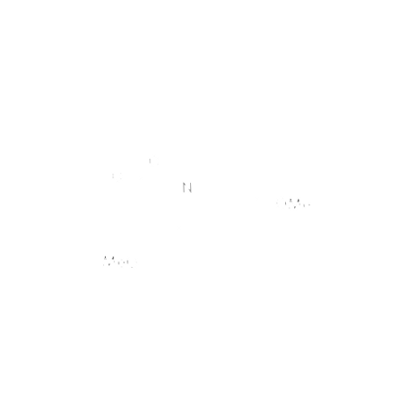 COc1ccc(N2COC(=O)c3cc(OC)ccc32)cc1